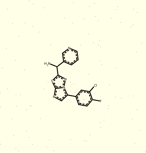 NC(c1cccnc1)c1nn2c(-c3ccc(F)c(Cl)c3)cnc2s1